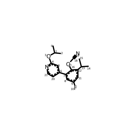 CC(C)Oc1cc(-c2cc(F)cc(C(C)C)c2OC#N)ccn1